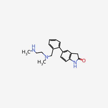 CNCCN(C)Cc1ccccc1-c1ccc2c(c1)CC(=O)N2